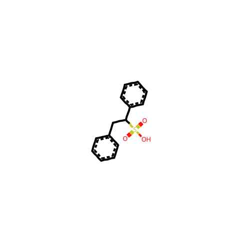 O=S(=O)(O)[C](Cc1ccccc1)c1ccccc1